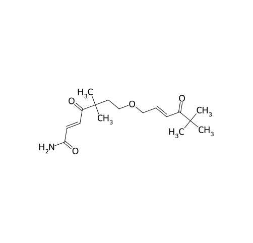 CC(C)(C)C(=O)/C=C/COCCC(C)(C)C(=O)/C=C/C(N)=O